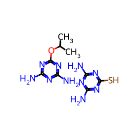 CC(C)Oc1nc(N)nc(N)n1.Nc1nc(N)nc(S)n1